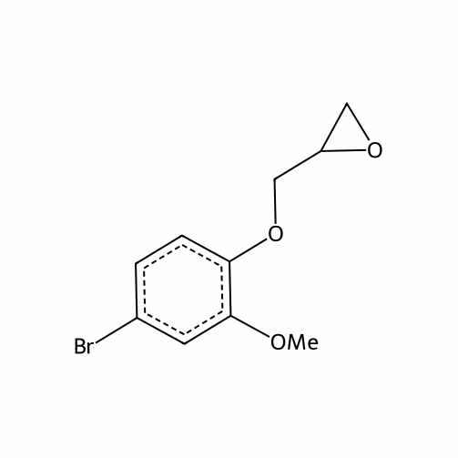 COc1cc(Br)ccc1OCC1CO1